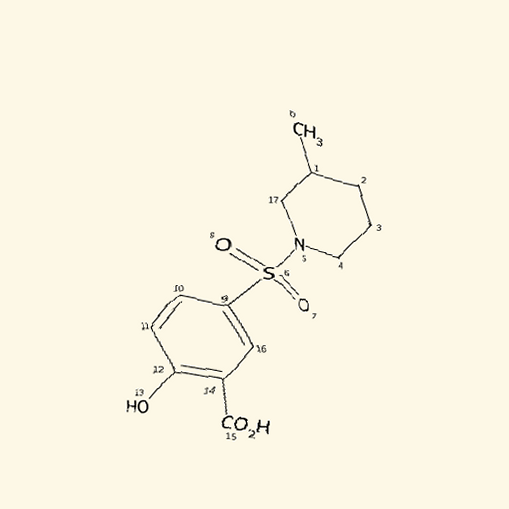 CC1CCCN(S(=O)(=O)c2ccc(O)c(C(=O)O)c2)C1